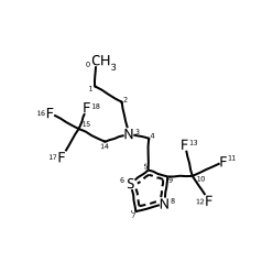 CCCN(Cc1s[c]nc1C(F)(F)F)CC(F)(F)F